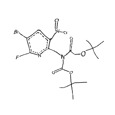 CC(C)(C)OC(=O)N(C(=O)OC(C)(C)C)c1nc(F)c(Br)cc1[N+](=O)[O-]